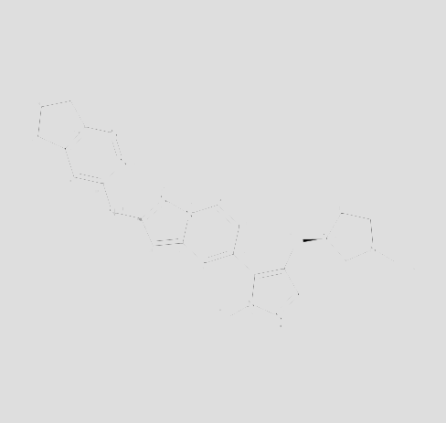 CN1CC[C@H](Oc2cnn(C)c2-c2ccn3nc(Nc4cc5c(nn4)CCC5)cc3c2)C1